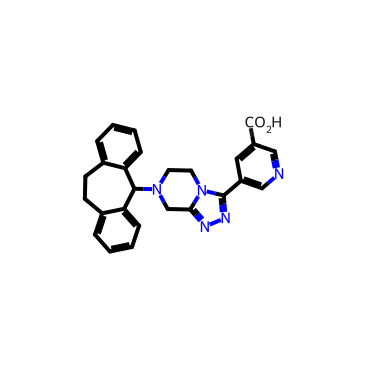 O=C(O)c1cncc(-c2nnc3n2CCN(C2c4ccccc4CCc4ccccc42)C3)c1